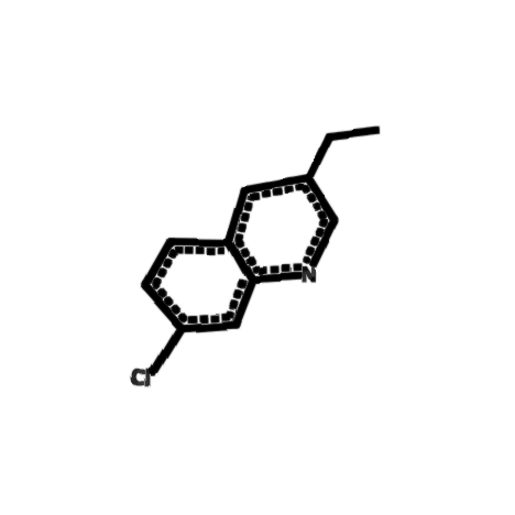 CCc1cnc2cc(Cl)ccc2c1